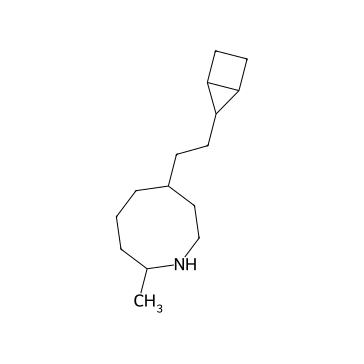 CC1CCCC(CCC2C3CCC23)CCN1